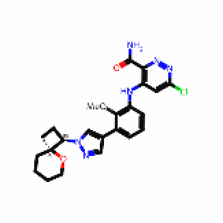 COc1c(Nc2cc(Cl)nnc2C(N)=O)cccc1-c1cnn([C@@H]2CC[C@]23CCCCO3)c1